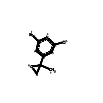 CC1(c2cc(Cl)nc(Br)c2)CO1